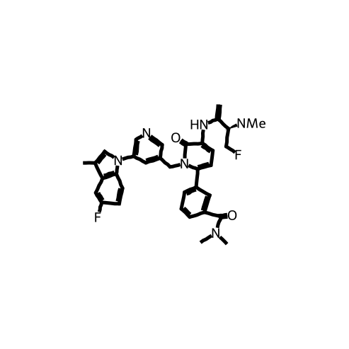 C=C(Nc1ccc(-c2cccc(C(=O)N(C)C)c2)n(Cc2cncc(-n3cc(C)c4cc(F)ccc43)c2)c1=O)[C@H](CF)NC